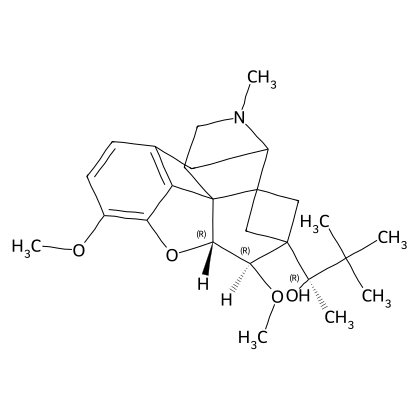 COc1ccc2c3c1O[C@H]1[C@H](OC)C4([C@](C)(O)C(C)(C)C)CC5(C4)C(C2)N(C)CCC315